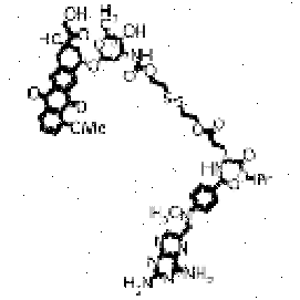 COc1cccc2c1C(=O)c1cc3c(cc1C2=O)C[C@@](O)(C(=O)CO)C[C@@H]3O[C@H]1C[C@@H](NC(=O)OCCSSCCOC(=O)CC[C@@H](NC(=O)c2ccc(N(C)Cc3cnc4nc(N)nc(N)c4n3)cc2)C(=O)OC(C)C)[C@H](O)[C@H](C)O1